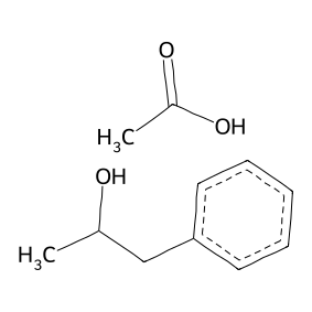 CC(=O)O.CC(O)Cc1ccccc1